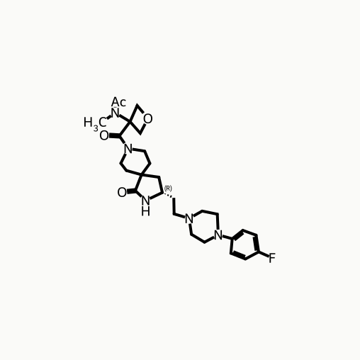 CC(=O)N(C)C1(C(=O)N2CCC3(CC2)C[C@H](CCN2CCN(c4ccc(F)cc4)CC2)NC3=O)COC1